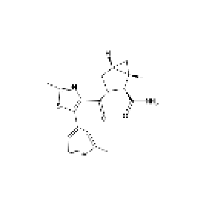 Cc1cccc(-c2sc(C)nc2C(=O)N2C[C@@H]3C[C@@H]3[C@H]2C(N)=O)c1